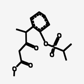 COC(=O)CC(=O)C(C)c1ccccc1OS(=O)(=O)C(C)C